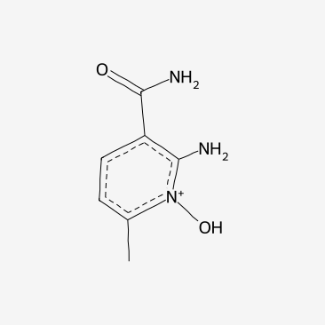 Cc1ccc(C(N)=O)c(N)[n+]1O